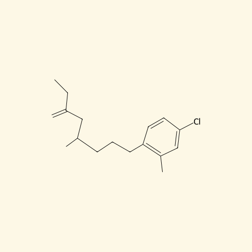 C=C(CC)CC(C)CCCc1ccc(Cl)cc1C